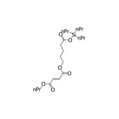 CCCOC(=O)C=CC(=O)OCCCCC(=O)O[Si](CCC)(CCC)CCC